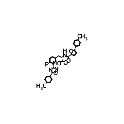 Cc1ccc(-c2ccc(C(=O)NC(Cc3ccc(F)c(-c4noc(-c5ccc(C)cc5)n4)c3)C(=O)O)o2)cc1